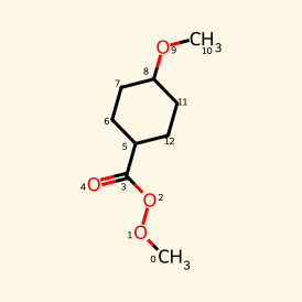 COOC(=O)C1CCC(OC)CC1